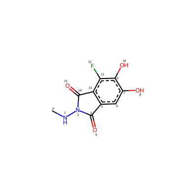 CNN1C(=O)c2cc(O)c(O)c(F)c2C1=O